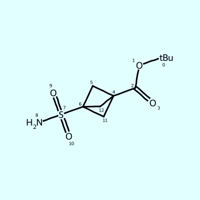 CC(C)(C)OC(=O)C12CC(S(N)(=O)=O)(C1)C2